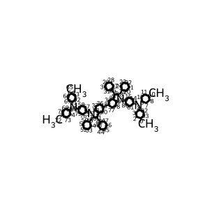 Cc1ccc(N(c2ccc(C)cc2)c2ccc(-n3c(-c4ccccc4)c(-c4ccccc4)c4cc(-c5ccc6c(c5)c(-c5ccccc5)c(-c5ccccc5)n6-c5ccc(N(c6ccc(C)cc6)c6ccc(C)cc6)cc5)ccc43)cc2)cc1